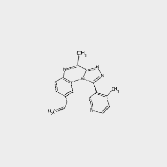 C=Cc1ccc2nc(C)c3nnc(-c4cnccc4C)n3c2c1